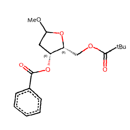 COC1C[C@@H](OC(=O)c2ccccc2)[C@@H](COC(=O)C(C)(C)C)O1